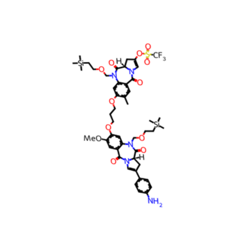 COc1cc2c(cc1OCCCOc1cc3c(cc1C)C(=O)N1C=C(OS(=O)(=O)C(F)(F)F)C[C@H]1C(=O)N3COCC[Si](C)(C)C)N(COCC[Si](C)(C)C)C(=O)[C@@H]1CC(c3ccc(N)cc3)=CN1C2=O